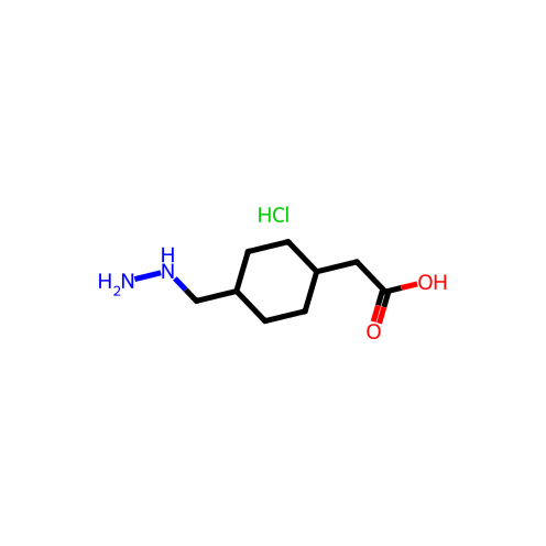 Cl.NNCC1CCC(CC(=O)O)CC1